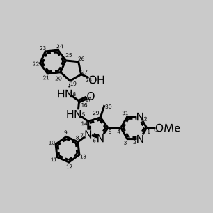 COc1ncc(-c2nn(-c3ccccc3)c(NC(=O)N[C@@H]3c4ccccc4CC3O)c2C)cn1